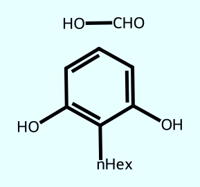 CCCCCCc1c(O)cccc1O.O=CO